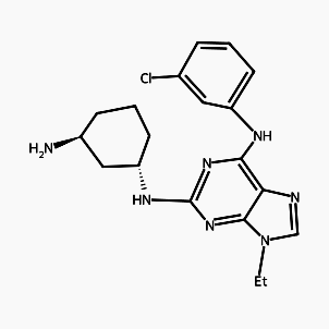 CCn1cnc2c(Nc3cccc(Cl)c3)nc(N[C@H]3CCC[C@H](N)C3)nc21